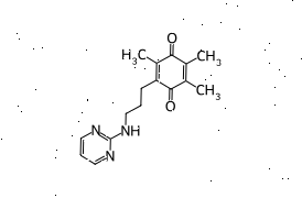 CC1=C(C)C(=O)C(CCCNc2ncccn2)=C(C)C1=O